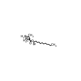 CCCCCCCCCCCC(Br)OC(=O)C(C)=CC(C)N(C)C